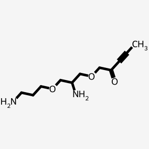 CC#CC(=O)COCC(N)COCCCN